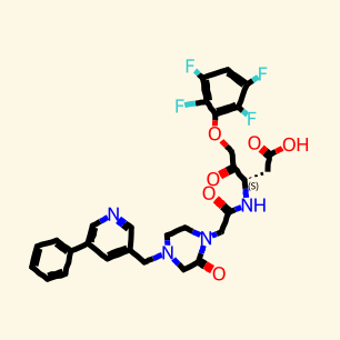 O=C(O)C[C@H](NC(=O)CN1CCN(Cc2cncc(-c3ccccc3)c2)CC1=O)C(=O)COc1c(F)c(F)cc(F)c1F